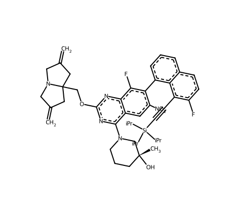 C=C1CN2CC(=C)CC2(COc2nc(N3CCC[C@@](C)(O)C3)c3cc([N+](=O)[O-])c(-c4cccc5ccc(F)c(C#C[Si](C(C)C)(C(C)C)C(C)C)c45)c(F)c3n2)C1